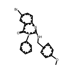 COc1ccc(CNc2nc3ccc(Br)cc3c(=O)n2-c2ccccc2)cc1